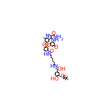 COc1cccc(Nc2c(C(N)=O)cnc3c(C)cc(S(=O)(=O)c4cccc(C(=O)NCCCCCCNCC(O)c5ccc(O)c(CO[Si](C)(C)C(C)(C)C)c5)c4)cc23)c1